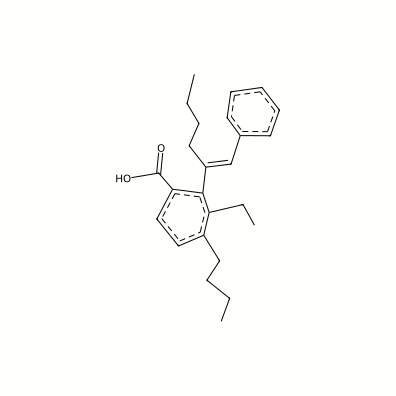 CCCCC(=Cc1ccccc1)c1c(C(=O)O)ccc(CCCC)c1CC